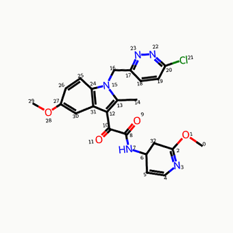 COC1=NC=CC(NC(=O)C(=O)c2c(C)n(Cc3ccc(Cl)nn3)c3ccc(OC)cc23)C1